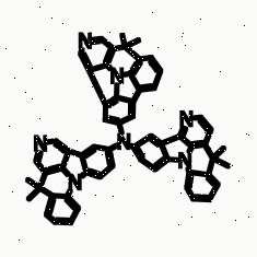 CC1(C)c2ccccc2-n2c3ccc(N(c4ccc5c(c4)c4nccc6c4n5-c4ccccc4C6(C)C)c4cc5c6cccc7c6n6c8c(cncc8c(c4)c56)C7(C)C)cc3c3cncc1c32